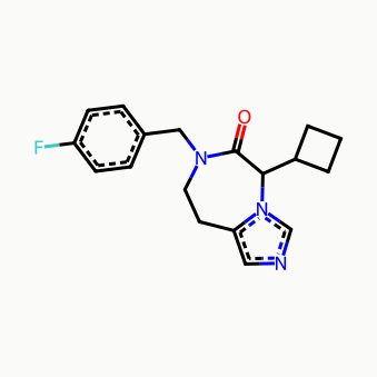 O=C1C(C2CCC2)n2cncc2CCN1Cc1ccc(F)cc1